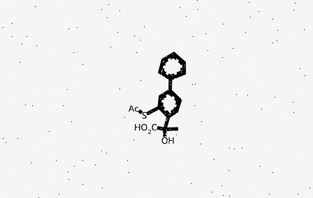 CC(=O)Sc1cc(-c2ccccc2)ccc1C(C)(O)C(=O)O